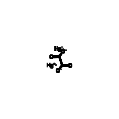 O=C([O-])C(=O)[O-].[Hg+].[Hg+]